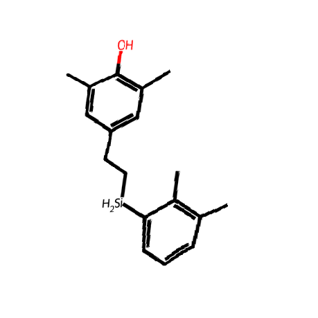 Cc1cccc([SiH2]CCc2cc(C)c(O)c(C)c2)c1C